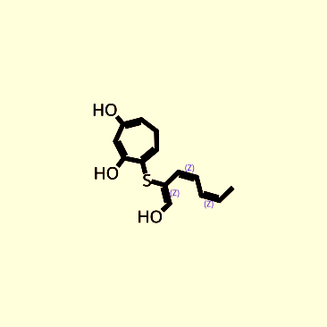 C\C=C/C=C\C(=C\O)SC1=CCC=C(O)C=C1O